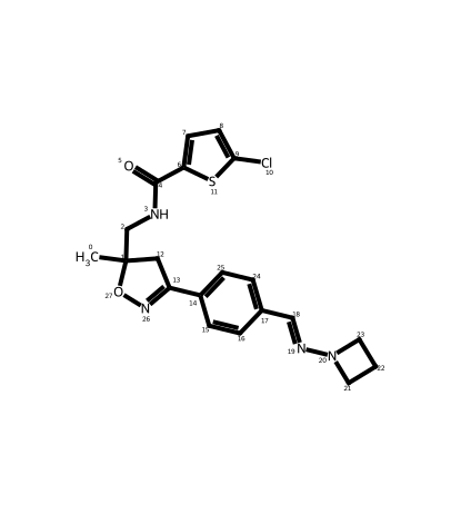 CC1(CNC(=O)c2ccc(Cl)s2)CC(c2ccc(C=NN3CCC3)cc2)=NO1